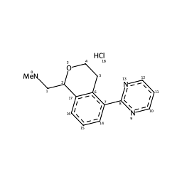 CNCC1OCCc2c(-c3ncccn3)cccc21.Cl